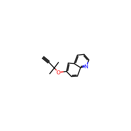 C#CC(C)(C)Oc1ccc2ncccc2c1